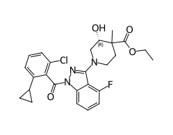 CCOC(=O)C1(C)CCN(c2nn(C(=O)c3c(Cl)cccc3C3CC3)c3cccc(F)c23)C[C@@H]1O